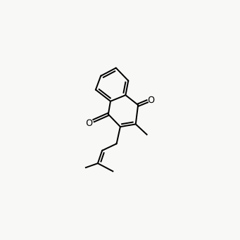 CC(C)=CCC1=C(C)C(=O)c2ccccc2C1=O